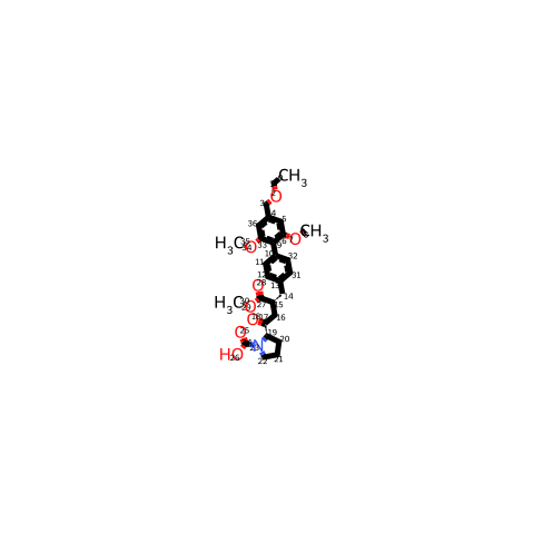 CCOCc1cc(OC)c(-c2ccc(C[C@H](CC(=O)[C@@H]3CCCN3C(=O)O)C(=O)OC)cc2)c(OC)c1